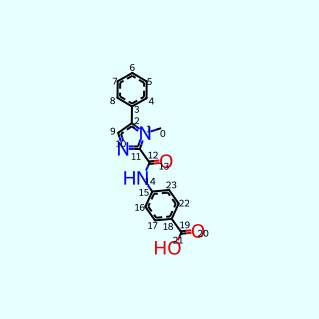 Cn1c(-c2ccccc2)cnc1C(=O)Nc1ccc(C(=O)O)cc1